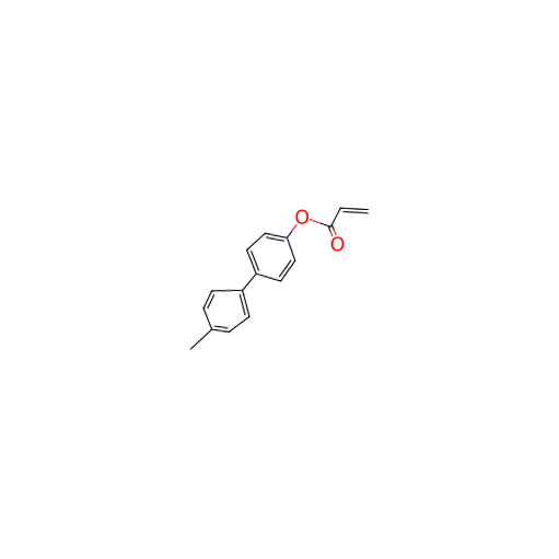 C=CC(=O)Oc1ccc(-c2ccc(C)cc2)cc1